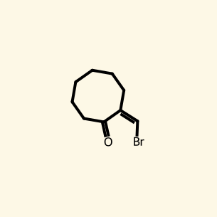 O=C1CCCCCCC1=CBr